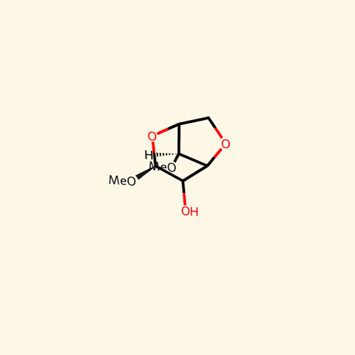 CO[C@H]1OC2COC(C1O)[C@H]2OC